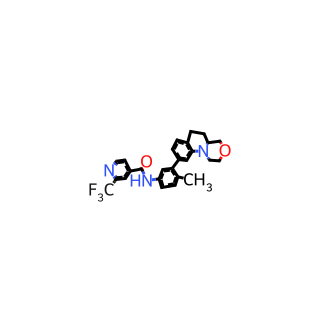 Cc1ccc(NC(=O)c2ccnc(C(F)(F)F)c2)cc1-c1ccc2c(c1)N1CCOCC1CC2